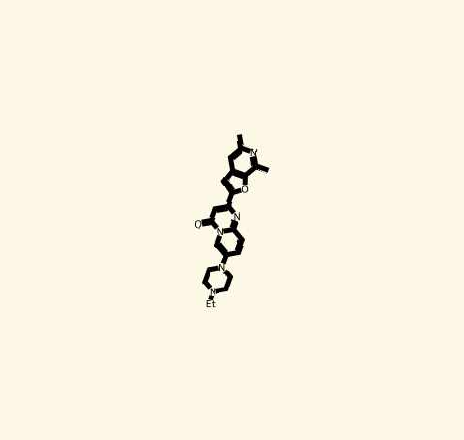 CCN1CCN(c2ccc3nc(-c4cc5cc(C)nc(C)c5o4)cc(=O)n3c2)CC1